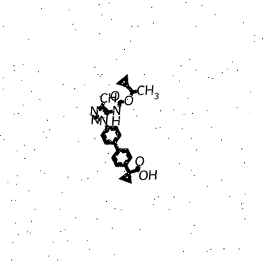 Cc1nnn(-c2ccc(-c3ccc(C4(C(=O)O)CC4)cc3)cc2)c1NC(=O)OC(C)C1CC1